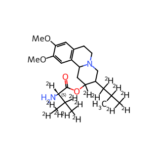 [2H]C1(OC(=O)[C@@]([2H])(N)C([2H])(C([2H])([2H])[2H])C([2H])([2H])[2H])CC2c3cc(OC)c(OC)cc3CCN2CC1C([2H])([2H])C([2H])(C)C([2H])([2H])[2H]